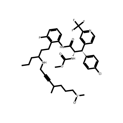 CCCC(CCc1c(F)cccc1NC(=O)[C@@H](NC(=O)OC)[C@@H](c1ccc(Cl)cc1)c1ccnc(C(F)(F)F)c1)NCC#CC(C)CCC[S+](C)[O-]